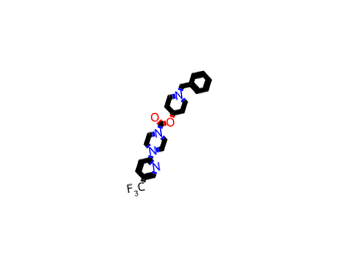 O=C(OC1CCN(Cc2ccccc2)CC1)N1CCN(c2ccc(C(F)(F)F)cn2)CC1